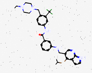 CCN1CCN(Cc2ccc(NC(=O)c3cccc(NCc4cnc5[nH]ccc5c4SC(C)C)c3)cc2C(F)(F)F)CC1